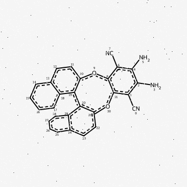 N#Cc1c(N)c(N)c(C#N)c2oc3ccc4ccccc4c3c3c(ccc4ccccc43)oc12